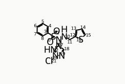 O=S(=O)(c1ccccc1)N(NCc1cccs1)N1C=NN(Cl)N1